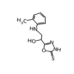 Cc1ccccc1NCC(O)c1n[nH]c(=S)o1